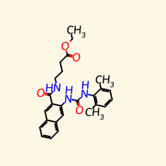 CCOC(=O)CCCNC(=O)c1cc2ccccc2cc1NC(=O)Nc1c(C)cccc1C